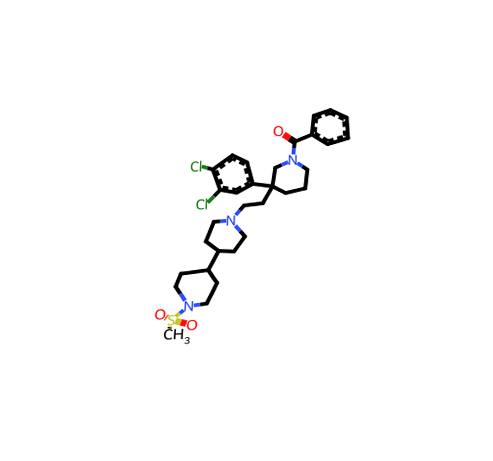 CS(=O)(=O)N1CCC(C2CCN(CCC3(c4ccc(Cl)c(Cl)c4)CCCN(C(=O)c4ccccc4)C3)CC2)CC1